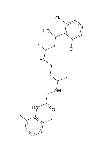 Cc1cccc(C)c1NC(=O)CNC(C)CCNC(C)CC(O)c1c(Cl)cccc1Cl